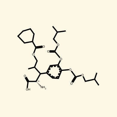 CC(C)COC(=O)Oc1ccc(C(C(C)COC(=O)C2CCCCC2)[C@H](N)C(=O)O)cc1OC(=O)OCC(C)C